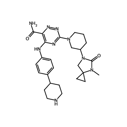 CN1C(=O)N(C2CCCN(c3nnc(C(N)=O)c(Nc4ccc(C5CCNCC5)cc4)n3)C2)CC12CC2